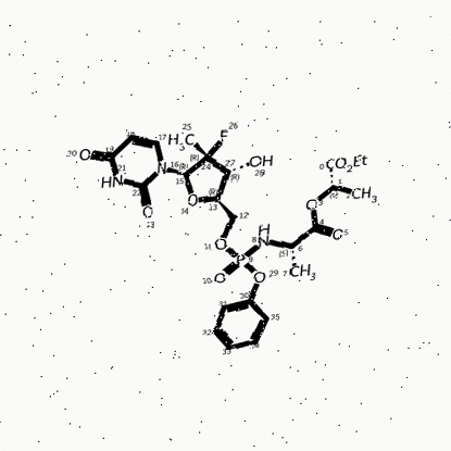 CCOC(=O)[C@H](C)OC(=O)[C@H](C)NP(=O)(OC[C@H]1O[C@@H](n2ccc(=O)[nH]c2=O)[C@](C)(F)[C@@H]1O)Oc1ccccc1